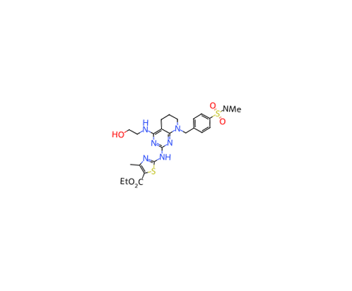 CCOC(=O)c1sc(Nc2nc(NCCO)c3c(n2)N(Cc2ccc(S(=O)(=O)NC)cc2)CCC3)nc1C